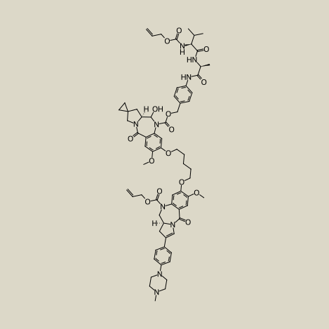 C=CCOC(=O)N[C@H](C(=O)N[C@@H](C)C(=O)Nc1ccc(COC(=O)N2c3cc(OCCCCCOc4cc5c(cc4OC)C(=O)N4C=C(c6ccc(N7CCN(C)CC7)cc6)C[C@H]4CN5C(=O)OCC=C)c(OC)cc3C(=O)N3CC4(CC4)C[C@H]3C2O)cc1)C(C)C